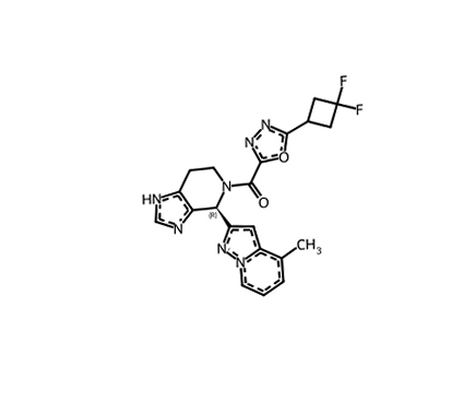 Cc1cccn2nc([C@H]3c4nc[nH]c4CCN3C(=O)c3nnc(C4CC(F)(F)C4)o3)cc12